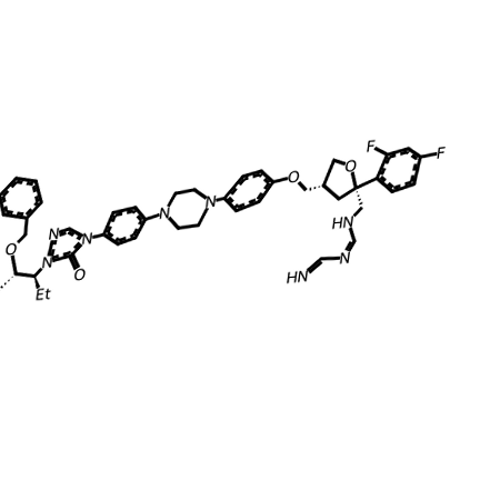 CC[C@@H]([C@H](C)OCc1ccccc1)n1ncn(-c2ccc(N3CCN(c4ccc(OC[C@@H]5CO[C@@](CN/C=N\C=N)(c6ccc(F)cc6F)C5)cc4)CC3)cc2)c1=O